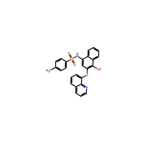 Cc1ccc(S(=O)(=O)Nc2cc(Sc3cccc4cccnc34)c(O)c3ccccc23)cc1